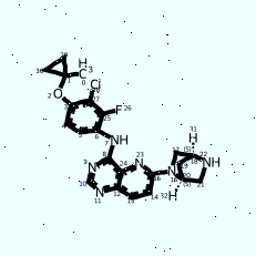 CC1(Oc2ccc(Nc3ncnc4ccc(N5C[C@@H]6C[C@H]5CN6)nc34)c(F)c2Cl)CC1